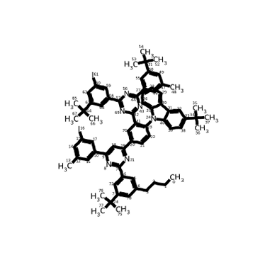 CCCCc1cc(-c2nc(-c3cc(C)cc(I)c3)cc(-c3ccc(-n4c5ccccc5c5cc(C(C)(C)C)ccc54)c(-c4nc(-c5cc(C)cc(C(C)(C)C)c5)nc(-c5cc(I)cc(C(C)(C)C)c5)n4)c3)n2)cc(C(C)(C)C)c1